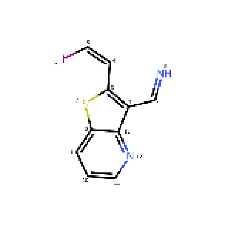 N=Cc1c(/C=C\I)sc2cccnc12